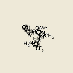 COc1cc2nc(C)nc(NCc3cc(N)cc(C(F)(F)F)c3)c2cc1OCC1(CN2CCOCC2)CC1